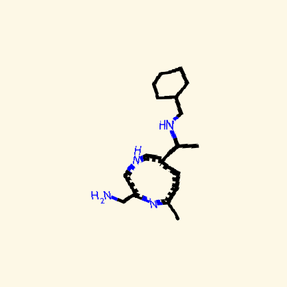 Cc1ccc(C(C)NCC2CCCCC2)c[nH]cc(CN)n1